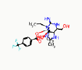 CC[C@H]1[C@H](OC(=O)c2ccc(C(F)(F)F)cc2)[C@](C)(O)C23C(NC(C)N2O)C(CO)NC(=N)N13